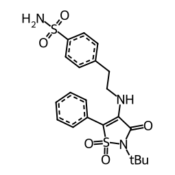 CC(C)(C)N1C(=O)C(NCCc2ccc(S(N)(=O)=O)cc2)=C(c2ccccc2)S1(=O)=O